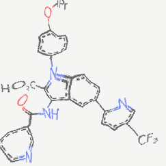 CC(C)Oc1ccc(-n2c(C(=O)O)c(NC(=O)c3cccnc3)c3cc(-c4ccc(C(F)(F)F)cn4)ccc32)cc1